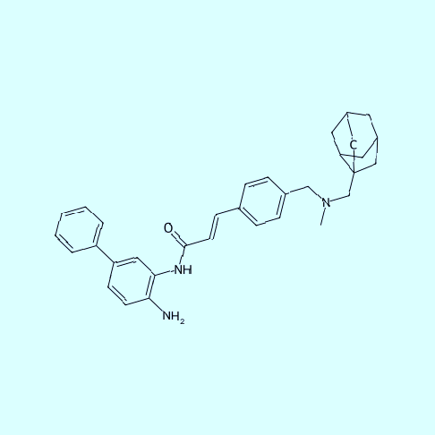 CN(Cc1ccc(/C=C/C(=O)Nc2cc(-c3ccccc3)ccc2N)cc1)CC12CC3CC(CC1C3)C2